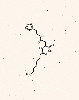 CCCCCCCC(=O)NC(CC(=O)NCCn1cnnc1)C(N)=O